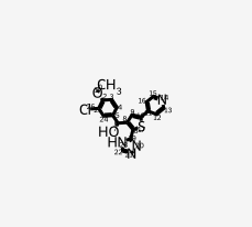 COc1ccc(C(O)c2cc(-c3ccncc3)sc2-c2nnc[nH]2)cc1Cl